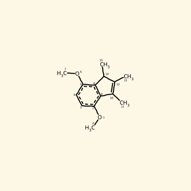 COc1ccc(OC)c2c1C(C)=C(C)C2C